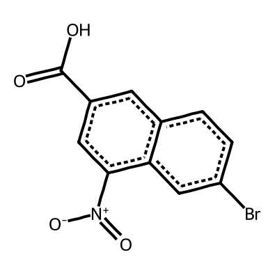 O=C(O)c1cc([N+](=O)[O-])c2cc(Br)ccc2c1